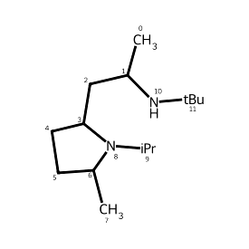 CC(CC1CCC(C)N1C(C)C)NC(C)(C)C